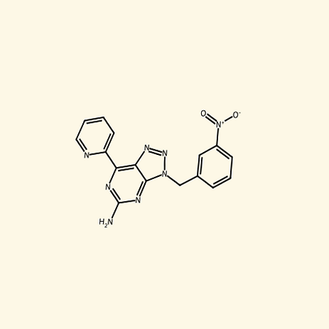 Nc1nc(-c2ccccn2)c2nnn(Cc3cccc([N+](=O)[O-])c3)c2n1